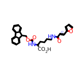 O=C(/C=C/c1ccco1)NCCCCC(NC(=O)OCC1c2ccccc2-c2ccccc21)C(=O)O